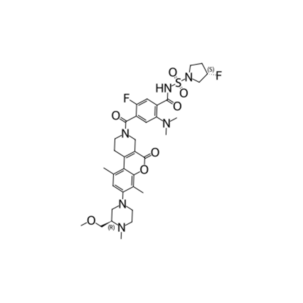 COC[C@H]1CN(c2cc(C)c3c4c(c(=O)oc3c2C)CN(C(=O)c2cc(N(C)C)c(C(=O)NS(=O)(=O)N3CC[C@H](F)C3)cc2F)CC4)CCN1C